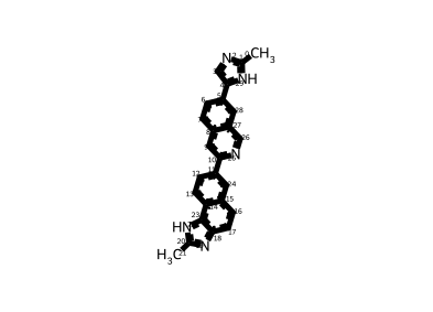 Cc1ncc(-c2ccc3cc(-c4ccc5c(ccc6nc(C)[nH]c65)c4)ncc3c2)[nH]1